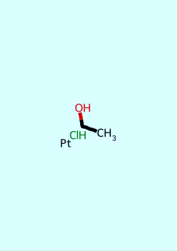 CCO.Cl.[Pt]